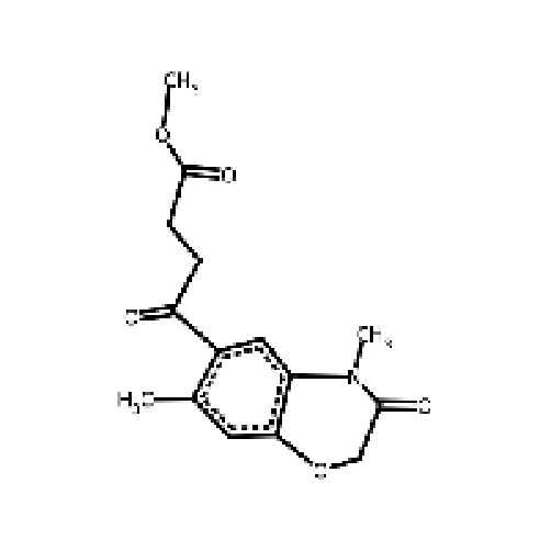 COC(=O)CCC(=O)c1cc2c(cc1C)OCC(=O)N2C